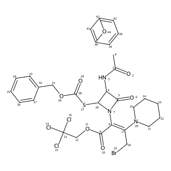 CC(=O)NC1C(=O)N(C(C(=O)OCC(Cl)(Cl)Cl)=C(CBr)N2CCCCC2)C1SC(=O)OCc1ccccc1.c1cc2cc(c1)O2